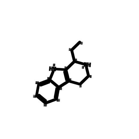 CCC1NCCc2c1[nH]c1ccccc21